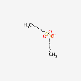 CCCCCCC=C[S+]([O-])C(=O)[S+]([O-])C=CCCCCCC